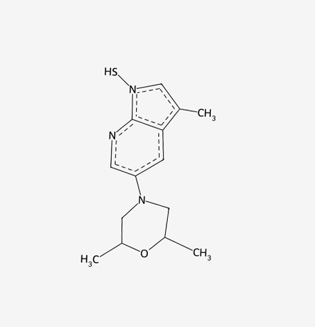 Cc1cn(S)c2ncc(N3CC(C)OC(C)C3)cc12